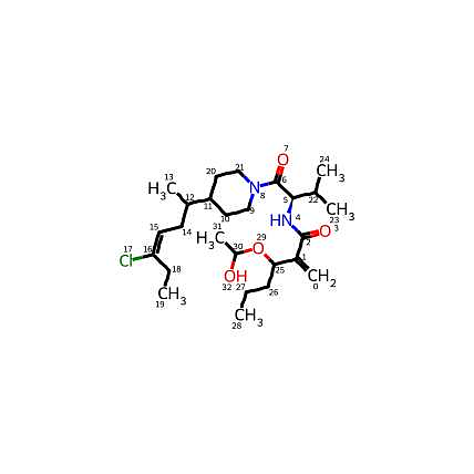 C=C(C(=O)N[C@@H](C(=O)N1CCC(C(C)C/C=C(/Cl)CC)CC1)C(C)C)C(CCC)OC(C)O